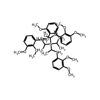 COc1cccc([SiH2]C(C)[Si](C(C)[SiH2]c2cccc(OC)c2OC)(C(C)[SiH2]c2cccc(OC)c2OC)C(C)[SiH2]c2cccc(OC)c2OC)c1OC